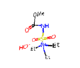 CC[N+](CC)(CC)S(=O)(=O)NC(=O)OC.[OH-]